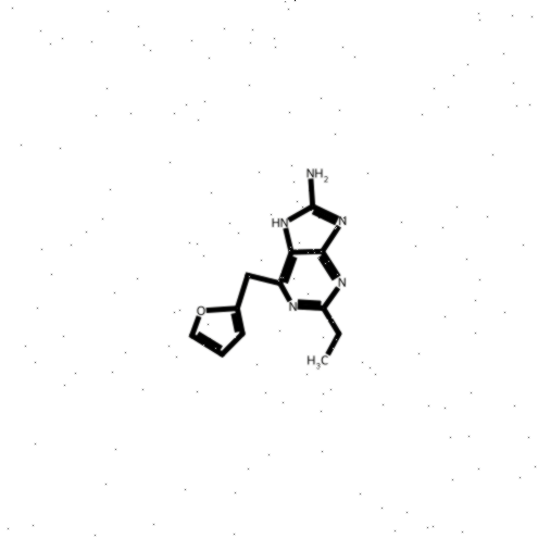 CCc1nc(Cc2ccco2)c2[nH]c(N)nc2n1